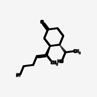 C/C(=C\CCC(C)C)[C@H]1CC(=O)CC[C@@H]1C(C)O